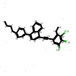 CCCCc1ccc(-c2ccc(C#Cc3cc(F)c(F)c(F)c3CC)c3ccccc23)cc1